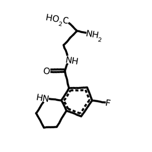 NC(CNC(=O)c1cc(F)cc2c1NCCC2)C(=O)O